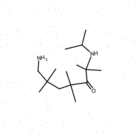 CC(C)NC(C)(C)C(=O)C(C)(C)CC(C)(C)CN